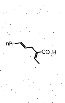 CC=C(CC=CCCC)C(=O)O